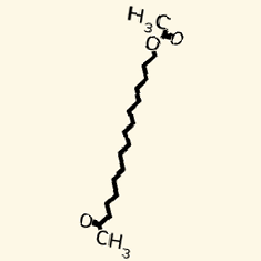 CC(=O)CCCCCCCCCCCCCCCOC(C)=O